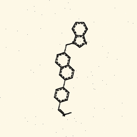 C/N=C\c1ccc(-c2ccc3cc(Cn4cnc5ccccc54)ccc3c2)cc1